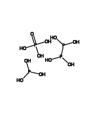 O=P(O)(O)O.OP(O)O.OP(O)P(O)O